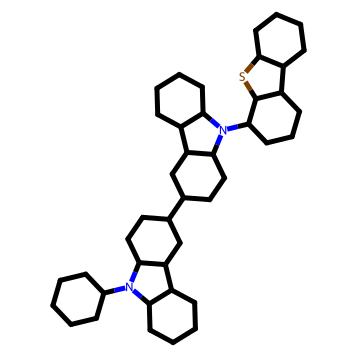 C1CCC(N2C3CCCCC3C3CC(C4CCC5C(C4)C4CCCCC4N5C4CCCC5C6CCCCC6SC54)CCC32)CC1